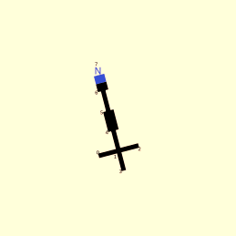 CC(C)(C)C#CC#N